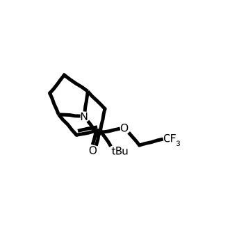 CC(C)(C)C1=CC2CCC(C1)N2C(=O)OCC(F)(F)F